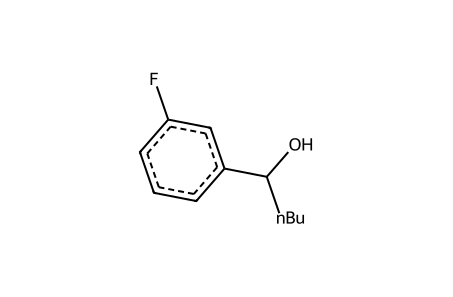 CCCCC(O)c1cccc(F)c1